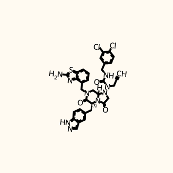 C#CCN(C(=O)NCc1ccc(Cl)c(Cl)c1)N1CC(=O)N2[C@@H](Cc3ccc4[nH]ncc4c3)C(=O)N(Cc3cccc4sc(N)nc34)C[C@@H]21